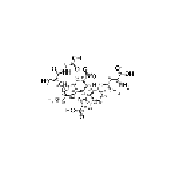 C=C(C)C(=O)NCC(=O)O.CC(C)CC(N)C(=O)O.NC(Cc1ccccc1)C(=O)O.NCC(=O)Oc1ccc([N+](=O)[O-])cc1